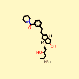 CCCC[C@H](C)C[C@H](O)/C=C/[C@@H]1[C@H]2CC(CCc3cccc(C(=O)N4CCCCC4)c3)=C[C@H]2C[C@H]1O